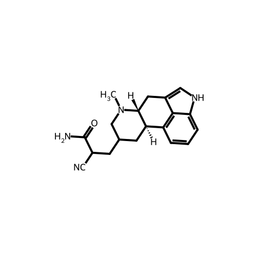 CN1CC(CC(C#N)C(N)=O)C[C@@H]2c3cccc4[nH]cc(c34)C[C@H]21